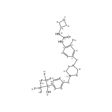 O=C(Nc1ccc(CC2CCN(Cc3ccc(C(O)(C(F)(F)F)C(F)(F)F)cc3)CC2)cc1F)NC1COC1